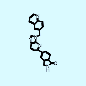 O=C1NCc2cc(-c3ccc4ncn(Cc5ccc6ncccc6c5)c4n3)ccc21